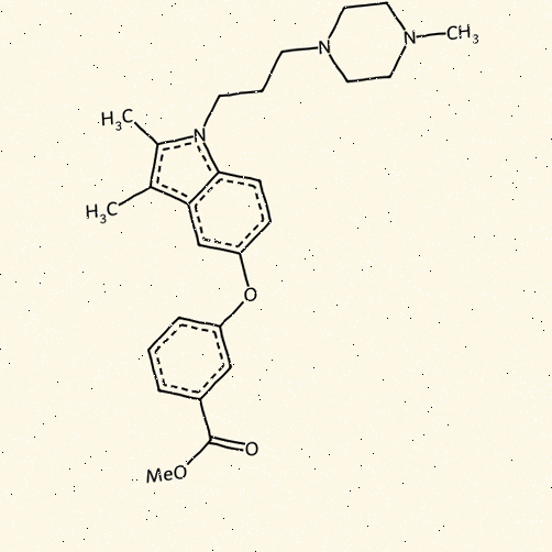 COC(=O)c1cccc(Oc2ccc3c(c2)c(C)c(C)n3CCCN2CCN(C)CC2)c1